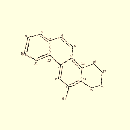 Cc1cc2c(ccc3ccccc32)c2c1CCCC2